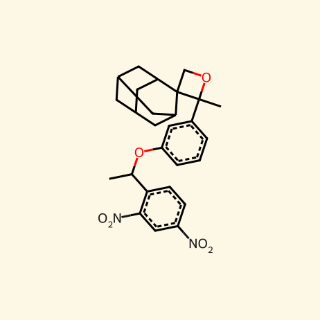 CC(Oc1cccc(C2(C)OCC23C2CC4CC(C2)CC3C4)c1)c1ccc([N+](=O)[O-])cc1[N+](=O)[O-]